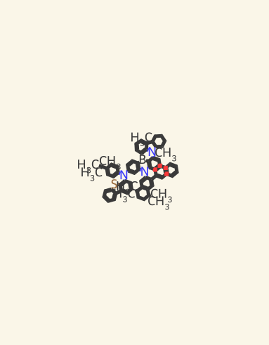 CC(C)(C)c1ccc(N(c2ccc3c(c2)N(c2cc4c(cc2-c2ccccc2)C(C)(C)CCC4(C)C)c2cc(-c4ccccc4)cc4c2B3c2cccc3c2N4C2(C)CCCCC32C)c2cccc3c2sc2ccccc23)cc1